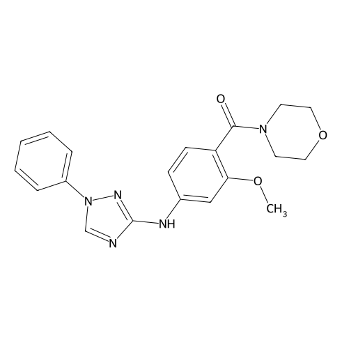 COc1cc(Nc2ncn(-c3ccccc3)n2)ccc1C(=O)N1CCOCC1